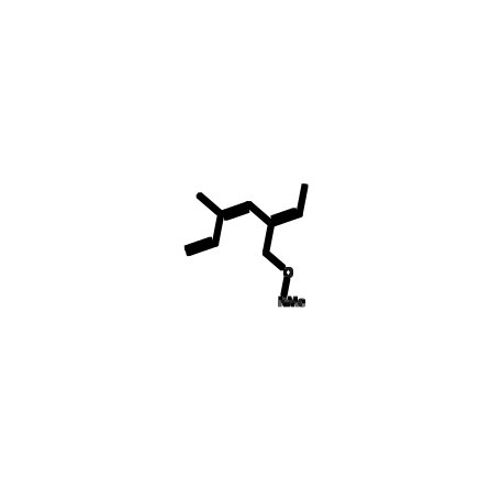 C=C/C(C)=C\C(=C/C)CONC